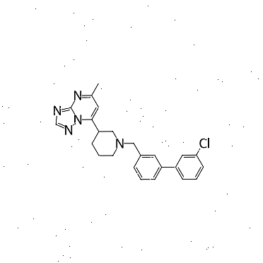 Cc1cc(C2CCCN(Cc3cccc(-c4cccc(Cl)c4)c3)C2)n2ncnc2n1